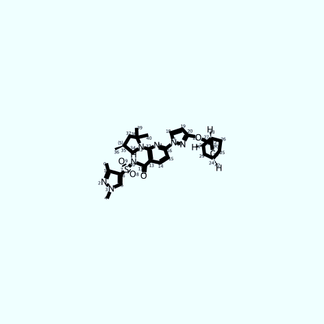 Cc1nn(C)cc1S(=O)(=O)NC(=O)c1ccc(-n2ccc(O[C@@H]3C[C@H]4CC[C@@H]3CC4)n2)nc1N1C[C@@H](C)CC1(C)C